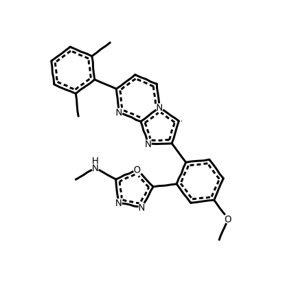 CNc1nnc(-c2cc(OC)ccc2-c2[c]n3ccc(-c4c(C)cccc4C)nc3n2)o1